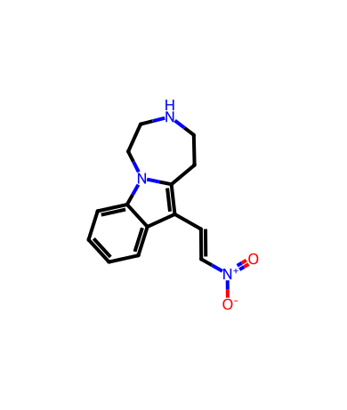 O=[N+]([O-])C=Cc1c2n(c3ccccc13)CCNCC2